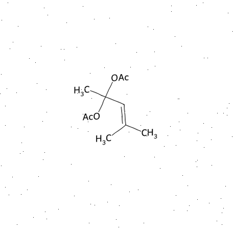 CC(=O)OC(C)(C=C(C)C)OC(C)=O